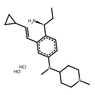 CC[C@H](N)c1ccc(N(C)C2CCN(C)CC2)cc1/C=C/C1CC1.Cl.Cl